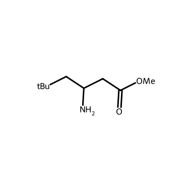 COC(=O)CC(N)CC(C)(C)C